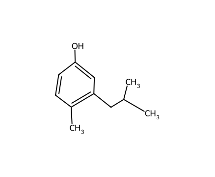 Cc1ccc(O)cc1CC(C)C